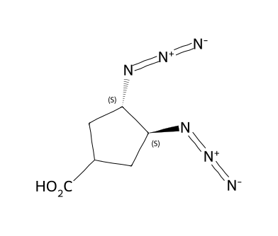 [N-]=[N+]=N[C@H]1CC(C(=O)O)C[C@@H]1N=[N+]=[N-]